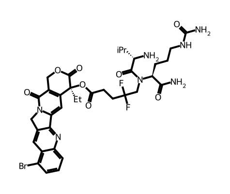 CC[C@@]1(OC(=O)CCC(F)(F)CN(C(=O)[C@@H](N)C(C)C)[C@@H](CCCNC(N)=O)C(N)=O)C(=O)OCc2c1cc1n(c2=O)Cc2cc3c(Br)cccc3nc2-1